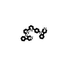 c1cc(-c2ccc(-n3c4ccccc4c4ccncc43)cc2)nc(-c2cccc(-n3c4ccccc4c4ccncc43)n2)c1